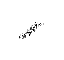 OC(F)(F)C(F)(F)OC(F)(F)C(F)(F)OC(F)(F)C(F)(F)OC(F)(F)C(O)(F)F